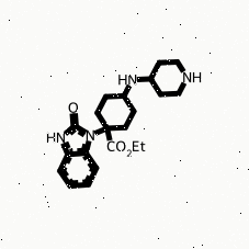 CCOC(=O)C1(n2c(=O)[nH]c3ccccc32)CCC(NC2CCNCC2)CC1